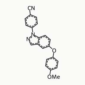 COc1ccc(Oc2ccc3c(cnn3-c3ccc(C#N)cc3)c2)cc1